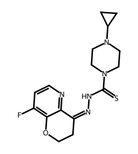 Fc1ccnc2c1OCC/C2=N/NC(=S)N1CCN(C2CC2)CC1